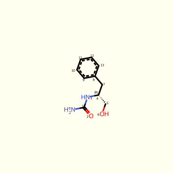 NC(=O)N[C@@H](CO)Cc1ccccc1